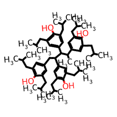 CC(C)Cc1cc(CC(c2cc(CC(C)C)c(O)c(CC(C)C)c2)C(c2cc(CC(C)C)c(O)c(CC(C)C)c2)C(C)c2cc(CC(C)C)c(O)c(CC(C)C)c2)cc(CC(C)C)c1O